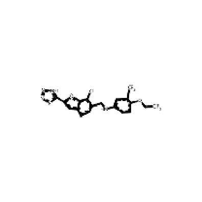 FC(F)(F)COc1ccc(NCc2ccc3cc(-c4nnn[nH]4)oc3c2Cl)cc1C(F)(F)F